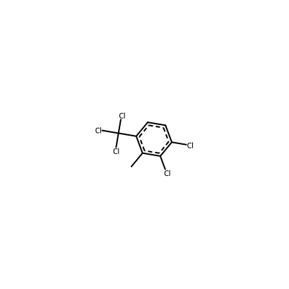 Cc1c(C(Cl)(Cl)Cl)ccc(Cl)c1Cl